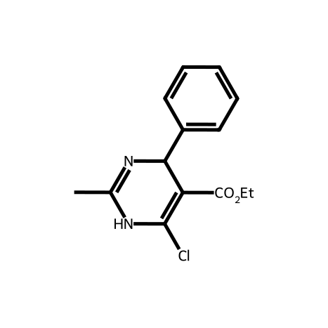 CCOC(=O)C1=C(Cl)NC(C)=NC1c1ccccc1